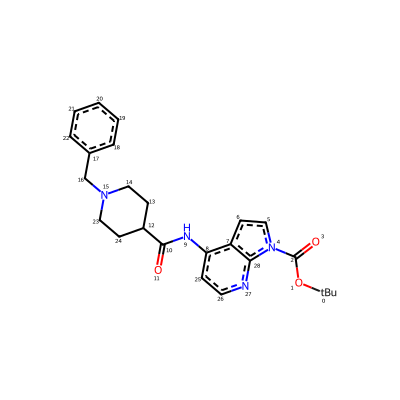 CC(C)(C)OC(=O)n1ccc2c(NC(=O)C3CCN(Cc4ccccc4)CC3)ccnc21